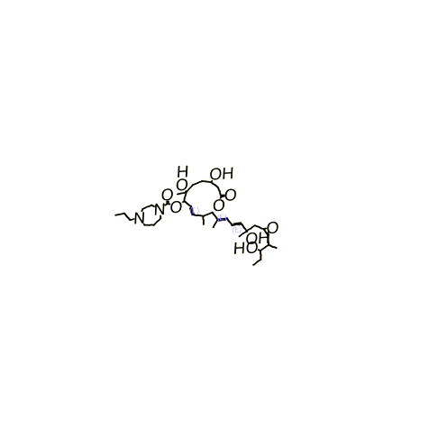 CCCN1CCCN(C(=O)OC2/C=C/C(C)C(/C(C)=C/C=C/C(C)(O)CC3OC3C(C)C(O)CC)OC(=O)CC(O)CCC2(C)O)CC1